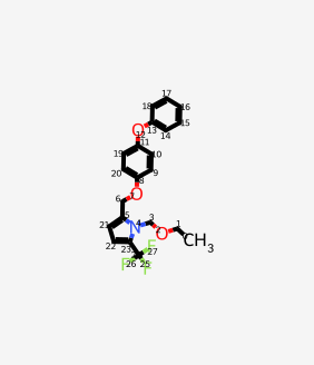 CCOCn1c(COc2ccc(Oc3ccccc3)cc2)ccc1C(F)(F)F